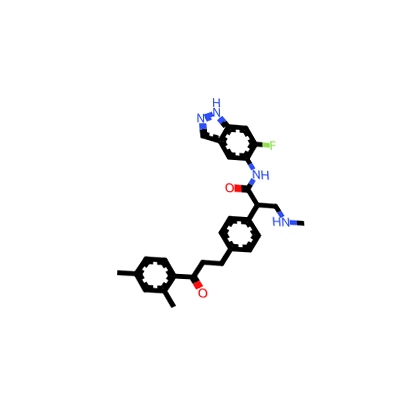 CNCC(C(=O)Nc1cc2cn[nH]c2cc1F)c1ccc(CCC(=O)c2ccc(C)cc2C)cc1